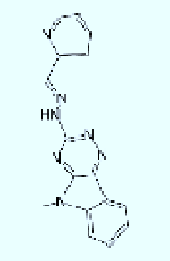 Cn1c2ccccc2c2nnc(N/N=C/c3ccccn3)nc21